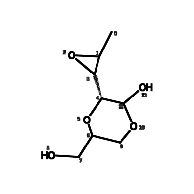 CC1OC1[C@H]1OC(CO)COC1O